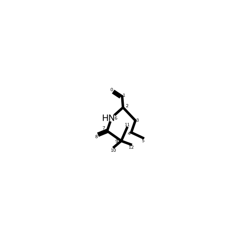 C=CC(CCC)NC(=C)C(C)(C)C